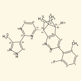 Cc1cccc(F)c1-c1cc2c(nn1)[C@@]1(c3ccnc(-c4c[nH]nc4C)n3)CC[C@@H]2C1(C)C